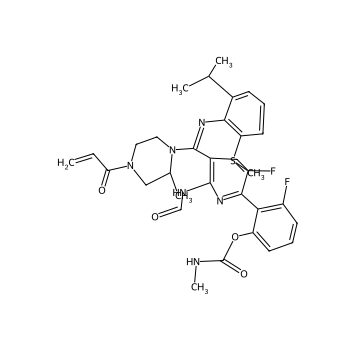 C=CC(=O)N1CCN(/C(=N/c2c(SC)cccc2C(C)C)c2cc(F)c(-c3c(F)cccc3OC(=O)NC)nc2NC=O)C(C)C1